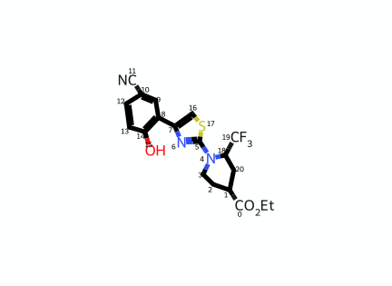 CCOC(=O)C1CCN(c2nc(-c3cc(C#N)ccc3O)cs2)C(C(F)(F)F)C1